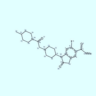 CNC(=O)c1cc2c(cc1F)N(C1CCN(CC(=O)N3CCC(C)CC3)CC1)C(=O)C2